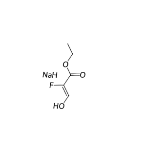 CCOC(=O)/C(F)=C/O.[NaH]